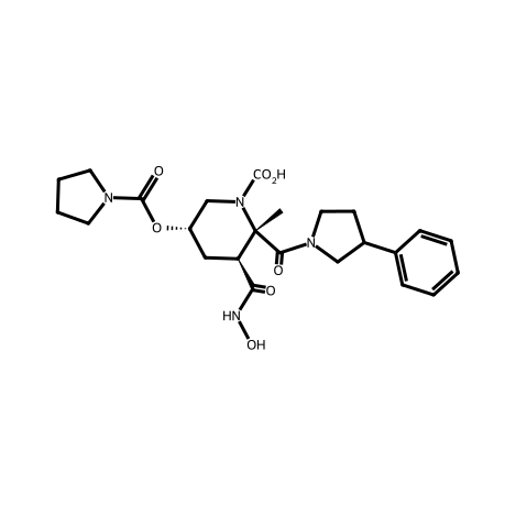 C[C@@]1(C(=O)N2CCC(c3ccccc3)C2)[C@@H](C(=O)NO)C[C@H](OC(=O)N2CCCC2)CN1C(=O)O